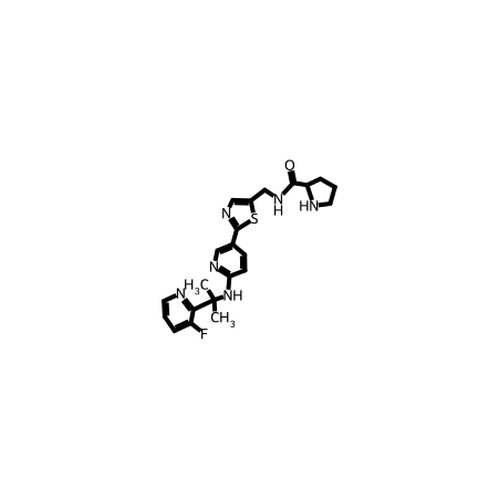 CC(C)(Nc1ccc(-c2ncc(CNC(=O)C3CCCN3)s2)cn1)c1ncccc1F